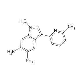 Bc1cc2c(cc1P)c(-c1cccc(C)n1)cn2C